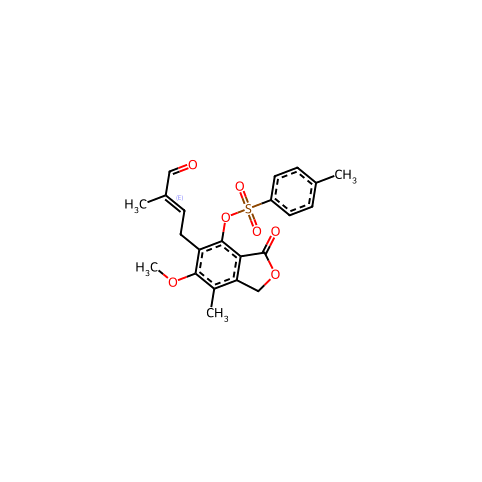 COc1c(C)c2c(c(OS(=O)(=O)c3ccc(C)cc3)c1C/C=C(\C)C=O)C(=O)OC2